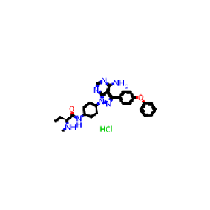 CC[C@H](NC)C(=O)NC1CCC(n2nc(-c3ccc(Oc4ccccc4)cc3)c3c(N)ncnc32)CC1.Cl